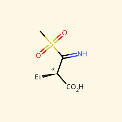 CC[C@@H](C(=N)S(C)(=O)=O)C(=O)O